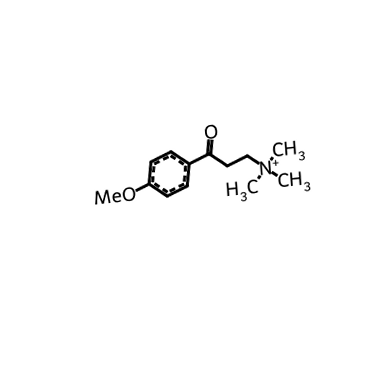 COc1ccc(C(=O)CC[N+](C)(C)C)cc1